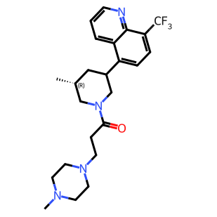 C[C@@H]1CC(c2ccc(C(F)(F)F)c3ncccc23)CN(C(=O)CCN2CCN(C)CC2)C1